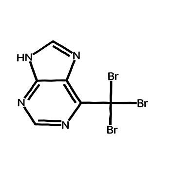 BrC(Br)(Br)c1ncnc2[nH]cnc12